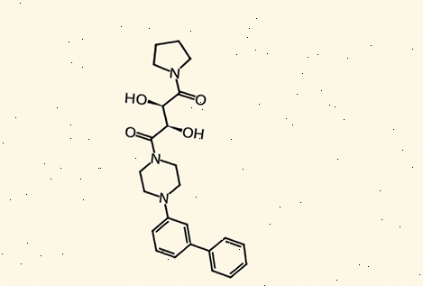 O=C([C@H](O)[C@@H](O)C(=O)N1CCN(c2cccc(-c3ccccc3)c2)CC1)N1CCCC1